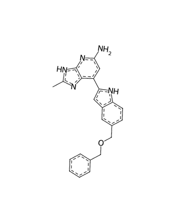 Cc1nc2c(-c3cc4cc(COCc5ccccc5)ccc4[nH]3)cc(N)nc2[nH]1